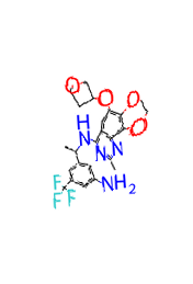 Cc1nc(N[C@H](C)c2cc(N)cc(C(F)(F)F)c2)c2cc(O[C@H]3CCOC3)c3c(c2n1)OCCO3